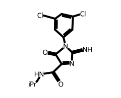 CC(C)NC(=O)C1=NC(=N)N(c2cc(Cl)cc(Cl)c2)C1=O